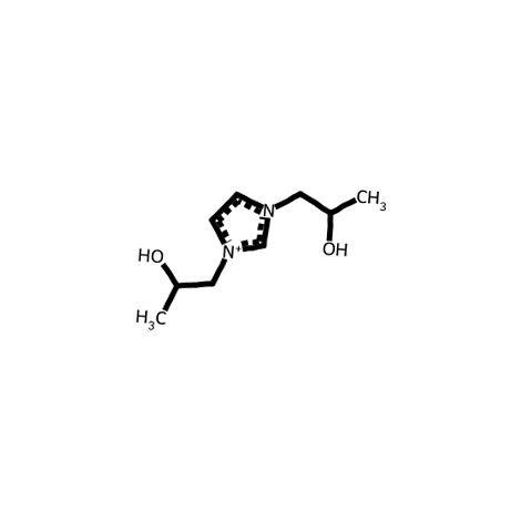 CC(O)Cn1cc[n+](CC(C)O)c1